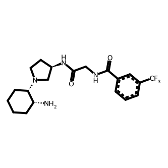 N[C@@H]1CCCC[C@@H]1N1CC[C@@H](NC(=O)CNC(=O)c2cccc(C(F)(F)F)c2)C1